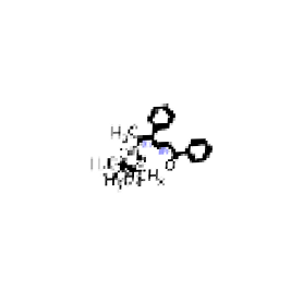 C/C(B1OC(C)(C)C(C)(C)O1)=C(/C=C/C(=O)c1ccccc1)c1ccccc1